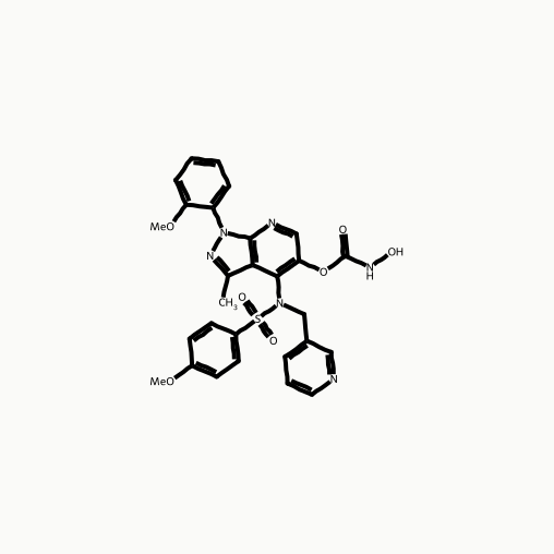 COc1ccc(S(=O)(=O)N(Cc2cccnc2)c2c(OC(=O)NO)cnc3c2c(C)nn3-c2ccccc2OC)cc1